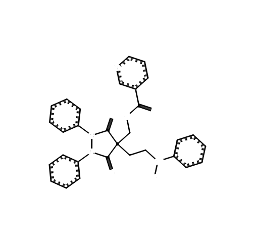 O=C(OCC1(CC[S+]([O-])c2ccccc2)C(=O)N(c2ccccc2)N(c2ccccc2)C1=O)c1cccnc1